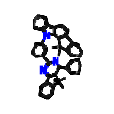 CC1(C)c2ccccc2-c2ccc3c4ccccc4n(-c4cccc(-c5nc(-c6ccccc6)c6c(n5)-c5ccccc5[Si]6(C)C)c4)c3c21